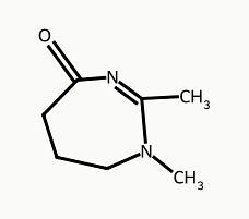 CC1=NC(=O)CCCN1C